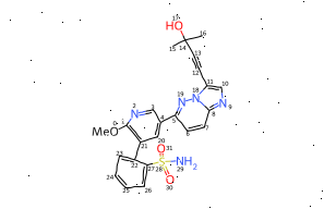 COc1ncc(-c2ccc3ncc(C#CC(C)(C)O)n3n2)cc1-c1ccccc1S(N)(=O)=O